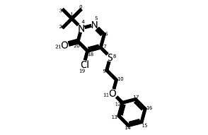 CC(C)(C)n1ncc(SCCOc2ccccc2)c(Cl)c1=O